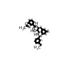 CCc1cccc(CNC[C@@H](O)[C@H](Cc2cc(F)cc(F)c2)NC(=O)c2cccc3oc(C)nc23)c1